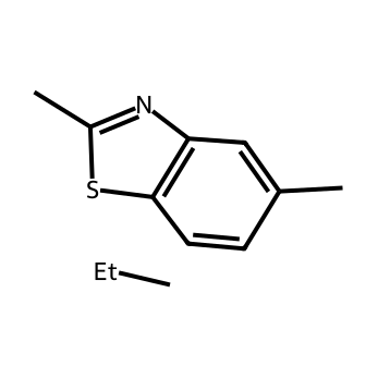 CCC.Cc1ccc2sc(C)nc2c1